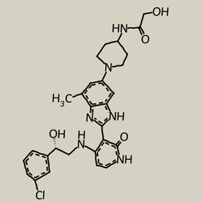 Cc1cc(N2CCC(NC(=O)CO)CC2)cc2[nH]c(-c3c(NC[C@@H](O)c4cccc(Cl)c4)cc[nH]c3=O)nc12